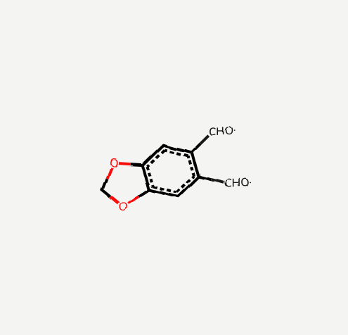 O=[C]c1cc2c(cc1[C]=O)OCO2